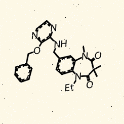 CCN1C(=O)C(C)(C)C(=O)N(C)c2cc(CNc3nccnc3OCc3ccccc3)ccc21